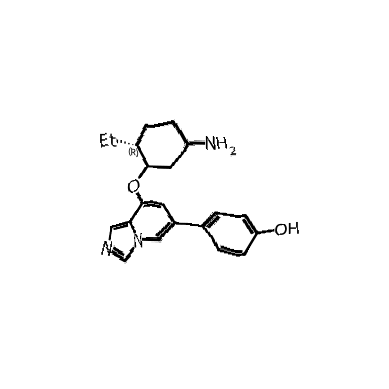 CC[C@@H]1CCC(N)CC1Oc1cc(-c2ccc(O)cc2)cn2cncc12